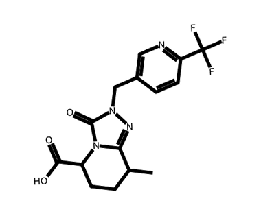 CC1CCC(C(=O)O)n2c1nn(Cc1ccc(C(F)(F)F)nc1)c2=O